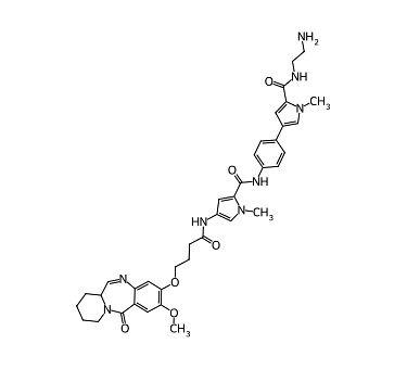 COc1cc2c(cc1OCCCC(=O)Nc1cc(C(=O)Nc3ccc(-c4cc(C(=O)NCCN)n(C)c4)cc3)n(C)c1)N=CC1CCCCN1C2=O